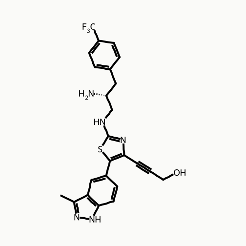 Cc1n[nH]c2ccc(-c3sc(NC[C@H](N)Cc4ccc(C(F)(F)F)cc4)nc3C#CCO)cc12